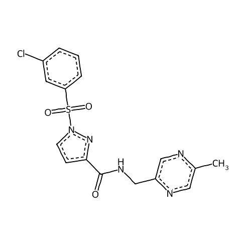 Cc1cnc(CNC(=O)c2ccn(S(=O)(=O)c3cccc(Cl)c3)n2)cn1